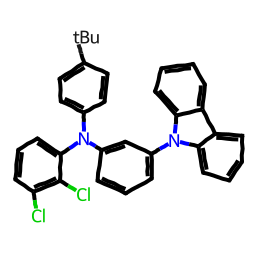 CC(C)(C)c1ccc(N(c2cccc(-n3c4ccccc4c4ccccc43)c2)c2cccc(Cl)c2Cl)cc1